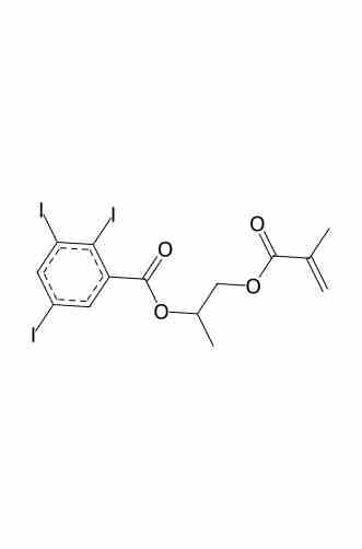 C=C(C)C(=O)OCC(C)OC(=O)c1cc(I)cc(I)c1I